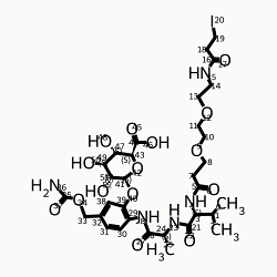 CC(C)[C@H](NC(=O)CCOCCOCCNC(=O)CCI)C(=O)N[C@@H](C)C(=O)Nc1ccc(COC(N)=O)cc1O[C@@H]1O[C@H](C(=O)O)[C@@H](O)[C@H](O)[C@H]1O